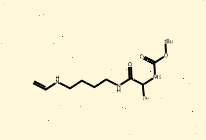 C=CNCCCCNC(=O)C(NC(=O)OC(C)(C)C)C(C)C